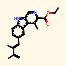 C=C(C)/C(C)=C/c1ccc2[nH]c3cnc(C(=O)OCC)c(C)c3c2c1